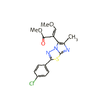 COC=C(C(=O)OC)c1c(C)nc2sc(-c3ccc(Cl)cc3)nn12